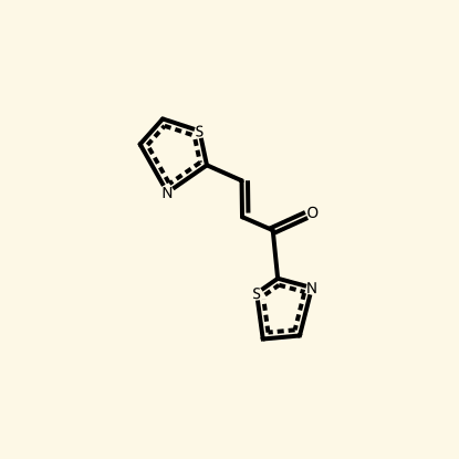 O=C(/C=C/c1nccs1)c1nccs1